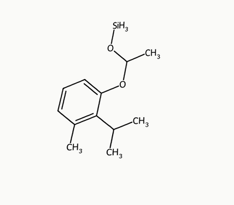 Cc1cccc(OC(C)O[SiH3])c1C(C)C